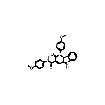 COc1ccc(NC(=O)C2=CC3Nc4ccccc4C3N(c3ccc(OC)cc3)C2=O)cc1